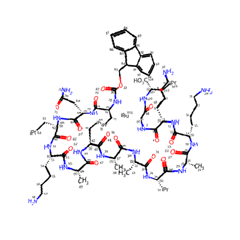 CC[C@H](C)[C@H](NC(=O)[C@H](CCCCN)NC(=O)[C@H](CCCCN)NC(=O)[C@H](C)NC(=O)[C@@H](NC(=O)[C@H](C)NC(=O)[C@H](C)NC(=O)[C@H](CC(C)C)NC(=O)[C@H](C)NC(=O)[C@H](CCCCN)NC(=O)[C@H](CC(C)C)NC(=O)[C@H](CC(N)=O)NC(=O)[C@H](CC(C)C)NC(=O)OCC1c2ccccc2-c2ccccc21)C(C)C)C(=O)N[C@@H](CC(C)C)C(=O)O